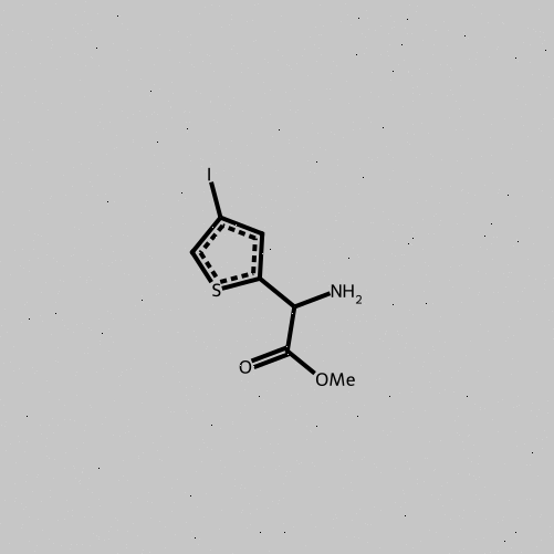 COC(=O)C(N)c1cc(I)cs1